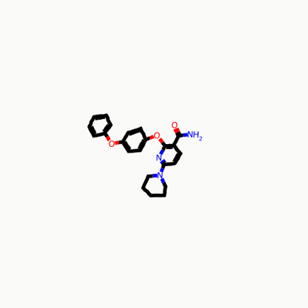 NC(=O)c1ccc(N2CCCCC2)nc1Oc1ccc(Oc2ccccc2)cc1